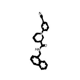 N#Cc1cccc(N2CCCC(C(=O)NCc3cccc4ccccc34)C2)c1